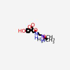 CC(C)(C)ONCCCNC(=O)Cc1cc(=O)oc2cc(O)ccc12